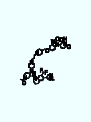 CC(=O)N1CCc2c(c(N3CCCc4cc(-c5cnn(C)c5)c(C(F)F)cc43)nn2C2CCN(CCCN3CCC(COc4ccc5c(c4)n(C)c(=O)n5C4CCC(=O)NC4=O)CC3)CC2)C1